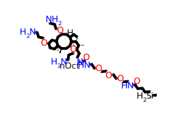 CCCCCCCCN(CCC[C@@H](C)[C@H]1CC[C@H]2C[C@H](OCCCN)CC3C[C@H](OCCCN)CC[C@]3(C)[C@H](C)C[C@H](OCCCN)[C@@]21C)C(=O)NCCOCCOCCOCCNC(=O)CCCC[SiH2]C